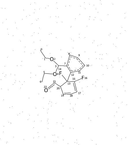 CCOC(OCC)c1ccccc1C1(F)C(F)=CC=CC1C=O